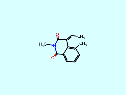 C/C=C1/C(=O)N(C)C(=O)c2cccc(C)c21